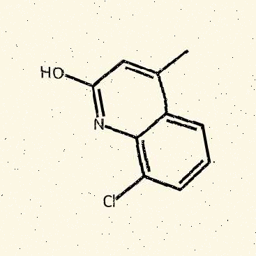 Cc1cc(O)nc2c(Cl)c[c]cc12